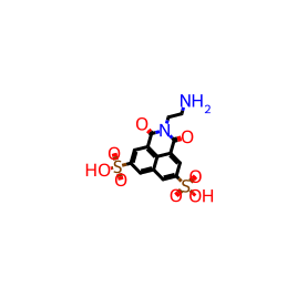 NCCN1C(=O)c2cc(S(=O)(=O)O)cc3cc(S(=O)(=O)O)cc(c23)C1=O